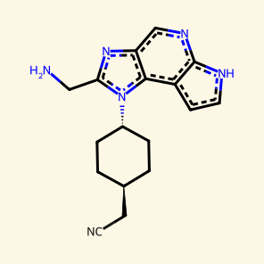 N#CC[C@H]1CC[C@H](n2c(CN)nc3cnc4[nH]ccc4c32)CC1